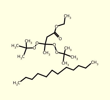 CCCCCCCCCCCC.CCOC(=O)CC(C)(OOC(C)(C)C)OOC(C)(C)C